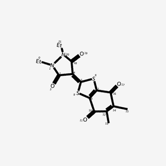 CCN1C(=O)C(=C2SC3=C(S2)C(=O)C(C)=C(C)C3=O)C(=O)N1CC